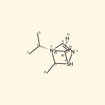 CC(C)[N@@+]12C=N[SH](C1C)[C@@H]2C